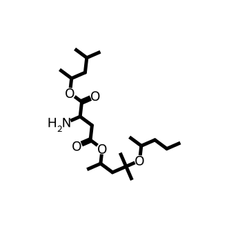 CCCC(C)OC(C)(C)CC(C)OC(=O)CC(N)C(=O)OC(C)CC(C)C